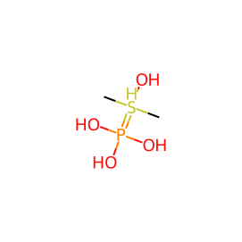 C[SH](C)(O)=P(O)(O)O